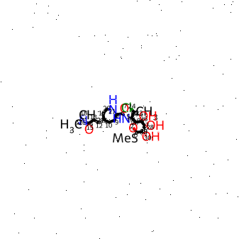 CSC1O[C@H]([C@H](NC(=O)C2CC[C@H](CCC(=O)N(C)C)CCN2)[C@H](C)Cl)C(O)C(O)[C@H]1O